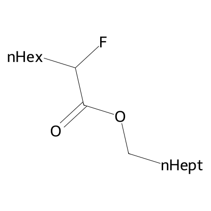 CCCCCCCCOC(=O)C(F)CCCCCC